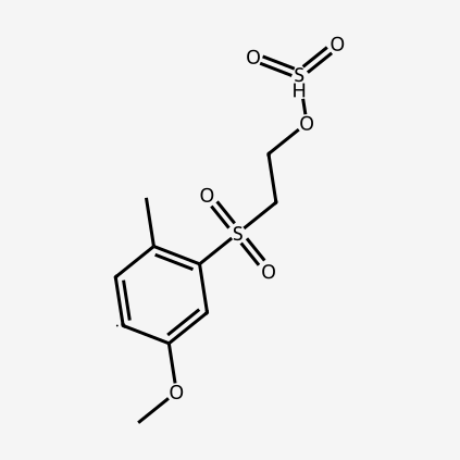 COc1[c]cc(C)c(S(=O)(=O)CCO[SH](=O)=O)c1